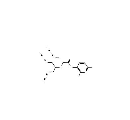 [N-]=[N+]=NCC(CN=[N+]=[N-])N[C@H](CN=[N+]=[N-])C(=O)Nc1ccc(Cl)nc1Cl